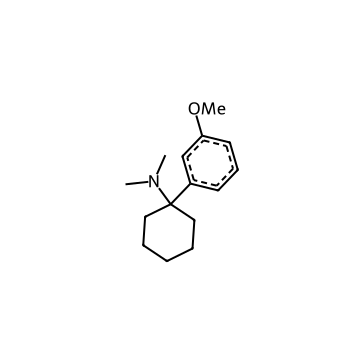 COc1cccc(C2(N(C)C)CCCCC2)c1